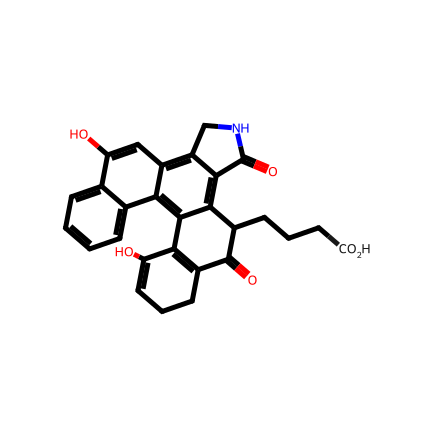 O=C(O)CCCC1C(=O)C2=C(C(O)=CCC2)c2c1c1c(c3cc(O)c4ccccc4c23)CNC1=O